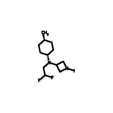 C[C@H]1CC[C@H](N(CC(F)F)C2CN(I)C2)CC1